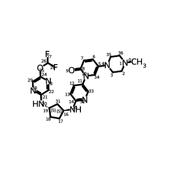 CN1CCN(c2ccc(=O)n(-c3ccc(N[C@H]4CC[C@H](Nc5cnc(OC(F)F)cn5)C4)nc3)c2)CC1